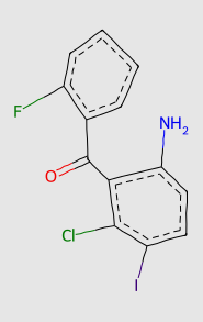 Nc1ccc(I)c(Cl)c1C(=O)c1ccccc1F